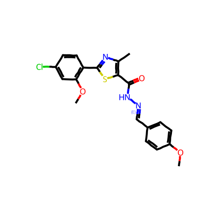 COc1ccc(/C=N/NC(=O)c2sc(-c3ccc(Cl)cc3OC)nc2C)cc1